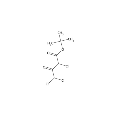 CC(C)(C)OC(=O)C(Cl)C(=O)C(Cl)Cl